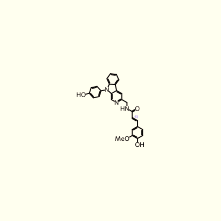 COc1cc(/C=C/C(=O)NCc2cc3c4ccccc4n(-c4ccc(O)cc4)c3cn2)ccc1O